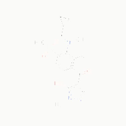 CN(CC1CC1)c1c(S(C)(=O)=O)ccc(C(=O)c2cnn(C)c2O)c1Cl